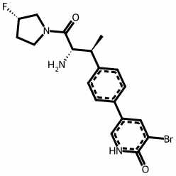 C[C@@H](c1ccc(-c2c[nH]c(=O)c(Br)c2)cc1)[C@H](N)C(=O)N1CC[C@H](F)C1